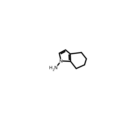 Nn1ccc2c1CCCC2